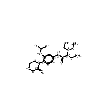 CC(C)CN(CC(C)(C)C)[C@@H](CN)C(=O)Nc1ccc(N2CCOCC2=O)c(OC(F)F)c1